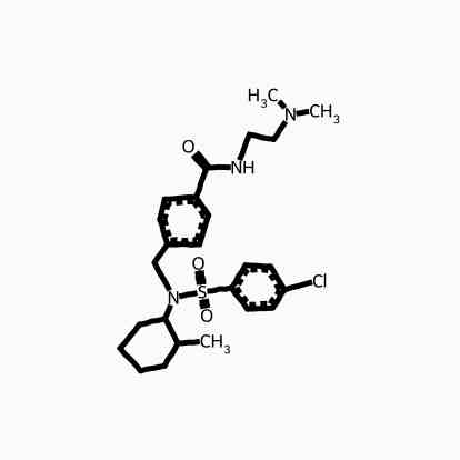 CC1CCCCC1N(Cc1ccc(C(=O)NCCN(C)C)cc1)S(=O)(=O)c1ccc(Cl)cc1